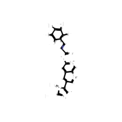 [2H]c1c([2H])c([2H])c(/C=C/C(=O)Nc2cc3cc(-c4cnc(C)n4C)cnc3cn2)c([2H])c1[2H]